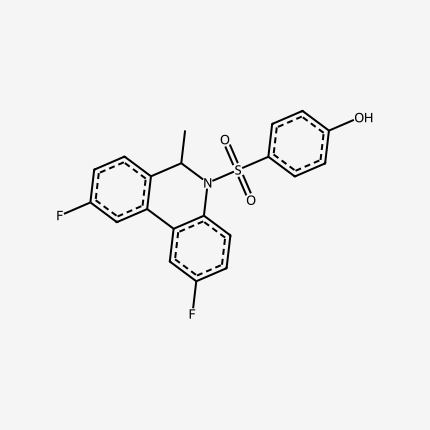 CC1c2ccc(F)cc2-c2cc(F)ccc2N1S(=O)(=O)c1ccc(O)cc1